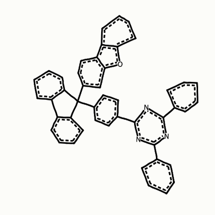 c1ccc(-c2nc(-c3ccccc3)nc(-c3ccc(C4(c5ccc6c(c5)oc5ccccc56)c5ccccc5-c5ccccc54)cc3)n2)cc1